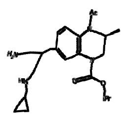 CC(=O)N1c2ccc(C(CN)CNC3CC3)cc2N(C(=O)OC(C)C)C[C@@H]1C